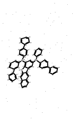 c1ccc(-c2ccc(N(c3ccccc3)c3cc(N(c4ccc(-c5ccccc5)cc4)c4cccc(-c5ccccc5)c4)c4sc5cc6ccccc6cc5c4c3)cc2)cc1